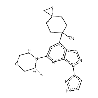 C[C@@H]1COCNN1c1cc(C2(O)CCC3(CC3)CC2)c2cnn(-c3cc[nH]n3)c2n1